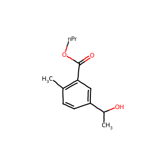 CCCOC(=O)c1cc(C(C)O)ccc1C